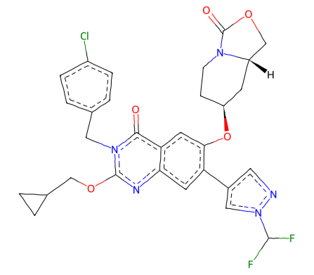 O=C1OC[C@@H]2C[C@@H](Oc3cc4c(=O)n(Cc5ccc(Cl)cc5)c(OCC5CC5)nc4cc3-c3cnn(C(F)F)c3)CCN12